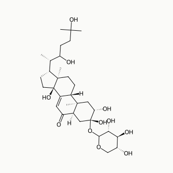 C[C@H](C(O)CCC(C)(C)O)[C@H]1CC[C@@]2(O)C3=CC(=O)[C@@H]4C[C@@](O)(OC5OC[C@@H](O)[C@H](O)[C@H]5O)[C@@H](O)C[C@]4(C)[C@H]3CC[C@]12C